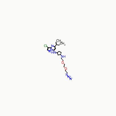 CCC(CC)c1cc(N[C@H]2CCC(NCCOCCOCCN=[N+]=[N-])C2)n2ncc(Cl)c2n1